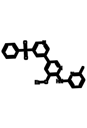 CCOc1cc(-c2cncc(S(=O)(=O)c3ccccc3)c2)cnc1Nc1cccc(C)n1